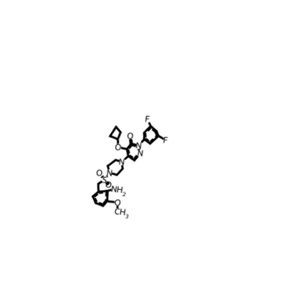 COc1cccc(CS(=O)(=O)N2CCN(c3cnn(-c4cc(F)cc(F)c4)c(=O)c3OC3CCC3)CC2)c1N